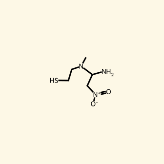 CN(CCS)C(N)C[N+](=O)[O-]